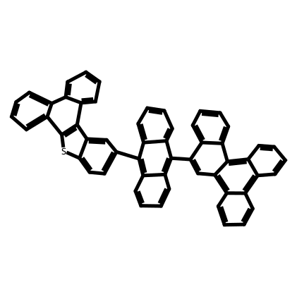 c1ccc2c(-c3cc4c5ccccc5c5ccccc5c4c4ccccc34)c3ccccc3c(-c3ccc4sc5c6ccccc6c6ccccc6c5c4c3)c2c1